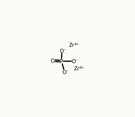 O=P([O-])([O-])[O-].[Zr+4].[Zr+4]